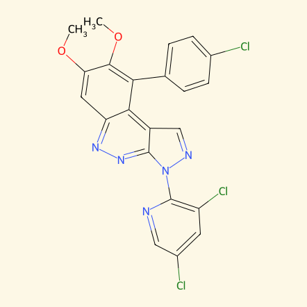 COc1cc2nnc3c(cnn3-c3ncc(Cl)cc3Cl)c2c(-c2ccc(Cl)cc2)c1OC